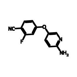 N#Cc1ccc(Oc2ccc(N)nc2)cc1F